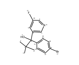 CC(C)(C)C(O)(c1cncc(F)c1)c1ccc(Br)cn1